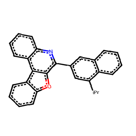 CC(C)c1cc(-c2nc3ccccc3c3c2oc2ccccc23)cc2ccccc12